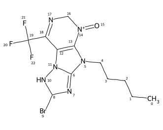 CCCCCN1C2=NC(Br)NN2C2=C1[N+](=O)CN=C2C(F)(F)F